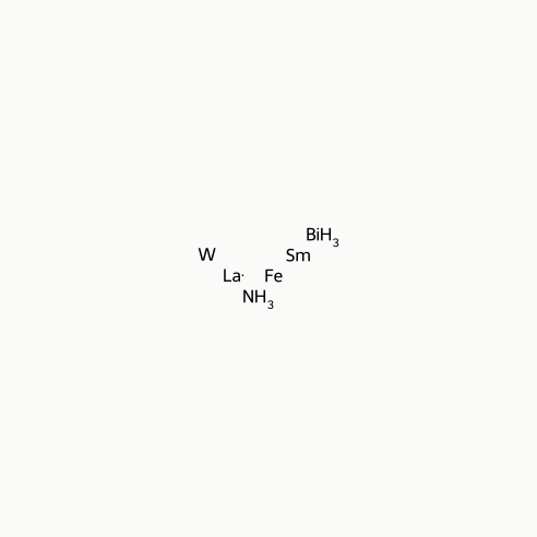 N.[BiH3].[Fe].[La].[Sm].[W]